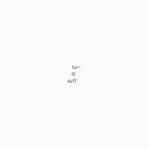 [Cl-].[Cl-].[Cu+2].[Fe]